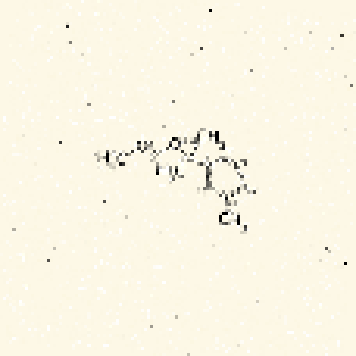 COCOC(C)(C)c1cccc(C)c1